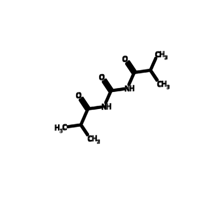 CC(C)C(=O)NC(=O)NC(=O)C(C)C